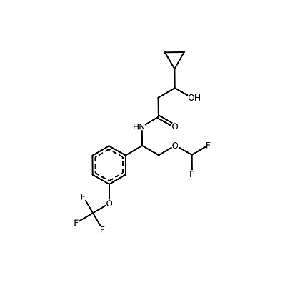 O=C(CC(O)C1CC1)NC(COC(F)F)c1cccc(OC(F)(F)F)c1